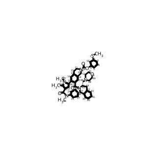 CSc1cccc(OC(=O)N2CCc3cc(-c4cc(C(=O)N(C)c5ccccc5)c(C)n4C)c(C(=O)N4Cc5ccccc5C[C@H]4CN4CCOCC4)cc3C2)c1